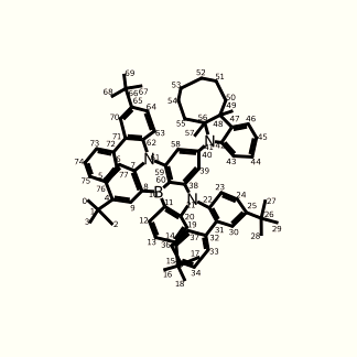 CC(C)(C)c1ccc2c(c1)B1c3ccc(C(C)(C)C)cc3N(c3ccc(C(C)(C)C)cc3-c3ccccc3)c3cc(N4c5ccccc5C5(C)CCCCCCC45C)cc(c31)N2c1ccc(C(C)(C)C)cc1-c1ccccc1